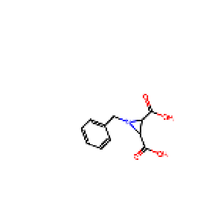 O=C(O)C1C(C(=O)O)N1Cc1ccccc1